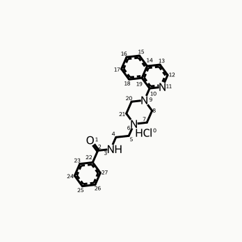 Cl.O=C(NCCN1CCN(c2nccc3ccccc23)CC1)c1ccccc1